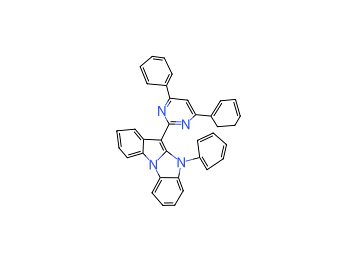 C1=CCCC(c2cc(-c3ccccc3)nc(-c3c4ccccc4n4c5ccccc5n(-c5ccccc5)c34)n2)=C1